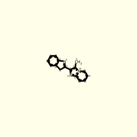 Cc1c(C2=Nc3ccccc3C2)nc2ccccn12